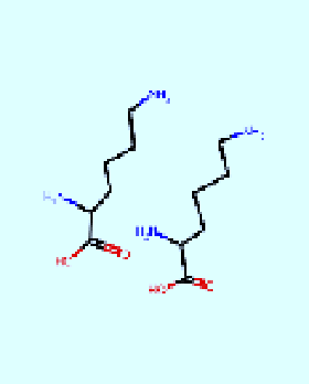 NCCCCC(N)C(=O)O.NCCCCC(N)C(=O)O